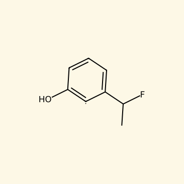 CC(F)c1[c]c(O)ccc1